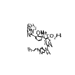 COc1c(Nc2nc(Nc3cnn(CCC(C)C)c3)ncc2C(=O)O)cccc1-c1ncn(C)n1